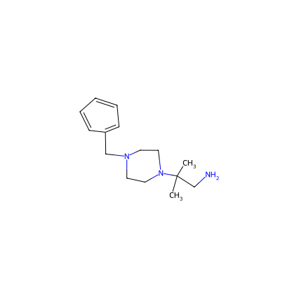 CC(C)(CN)N1CCN(Cc2ccccc2)CC1